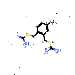 N=C(N)SCc1ccc(C(F)(F)F)cc1CSC(=N)N